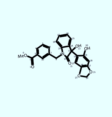 COC(=O)c1cccc(CN2C(=O)C(O)(c3cc4c(cc3O)OCO4)c3ccccc32)c1